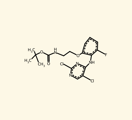 CC(C)(C)OC(=O)NCCOc1cccc(F)c1Nc1nc(Cl)ncc1Cl